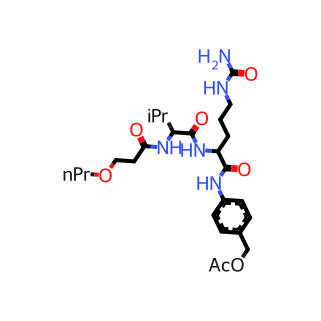 CCCOCCC(=O)NC(C(=O)NC(CCCNC(N)=O)C(=O)Nc1ccc(COC(C)=O)cc1)C(C)C